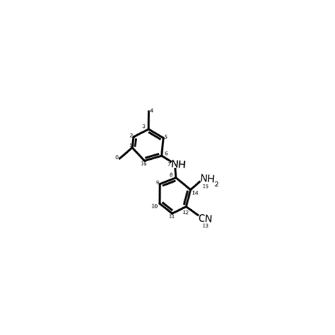 Cc1cc(C)cc(Nc2cccc(C#N)c2N)c1